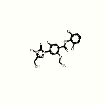 CCn1c(CO)nn(-c2cc(OCC(F)(F)F)c(C(=O)Nc3c(Cl)cccc3Cl)cc2F)c1=O